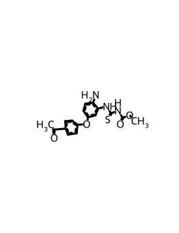 COC(=O)NC(=S)Nc1cc(Oc2ccc(C(C)=O)cc2)ccc1N